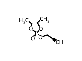 C#CCOP(=O)(OCC)OCC